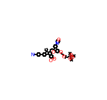 CCC1(CC)c2cc(-c3ccc(C#N)cc3)ccc2-c2c1c1c(c3cc(OC)c(OC)cc23)OC(c2ccc(OCCOC(C)(C)CC[Si](OC(C)(C)C)(OC(C)(C)C)OC(C)(C)C)cc2)(c2ccc(N3CCOCC3)cc2)C=C1